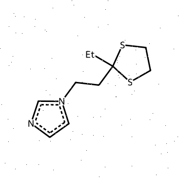 CCC1(CCn2ccnc2)SCCS1